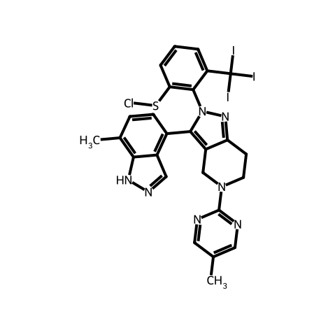 Cc1cnc(N2CCc3nn(-c4c(SCl)cccc4C(I)(I)I)c(-c4ccc(C)c5[nH]ncc45)c3C2)nc1